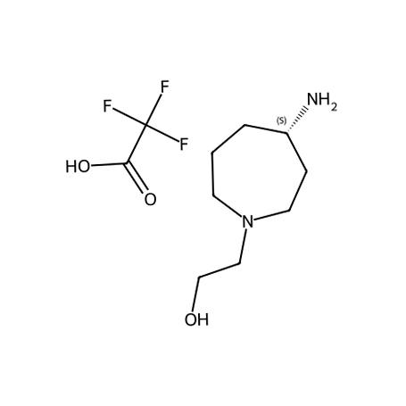 N[C@H]1CCCN(CCO)CC1.O=C(O)C(F)(F)F